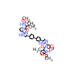 COC(=O)N[C@H](C(=O)N1CC=C[C@H]1c1nc(-c2ccc(-c3ccc(-c4cnc([C@@H]5CC6(CN5C(=O)[C@@H](NC(=O)OC)C(C)C)OCCO6)[nH]4)cc3)cc2)c[nH]1)C(C)C